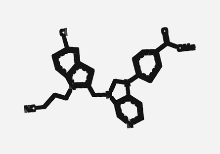 COC(=O)c1ccc(N2CN(Cc3cc4cc(Cl)ccc4n3CCCC#N)c3cnccc32)cc1